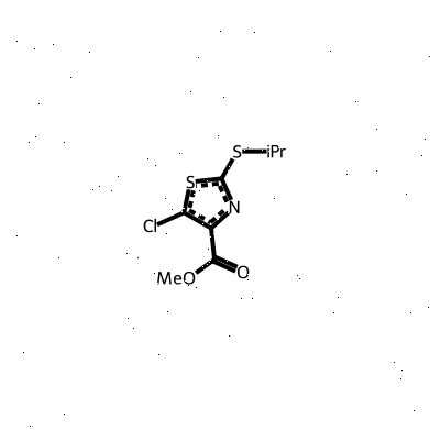 COC(=O)c1nc(SC(C)C)sc1Cl